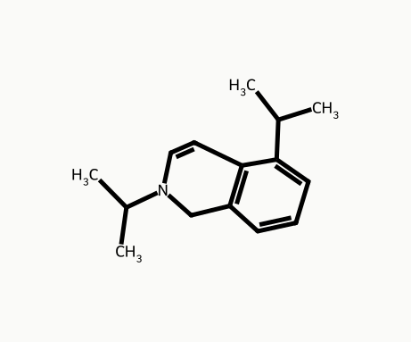 CC(C)c1cccc2c1C=CN(C(C)C)C2